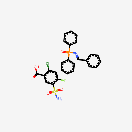 NS(=O)(=O)c1cc(C(=O)O)c(Cl)cc1F.O=P(/N=C/c1ccccc1)(c1ccccc1)c1ccccc1